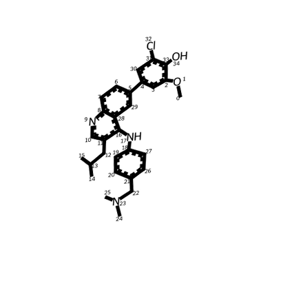 COc1cc(-c2ccc3ncc(CC(C)C)c(Nc4ccc(CN(C)C)cc4)c3c2)cc(Cl)c1O